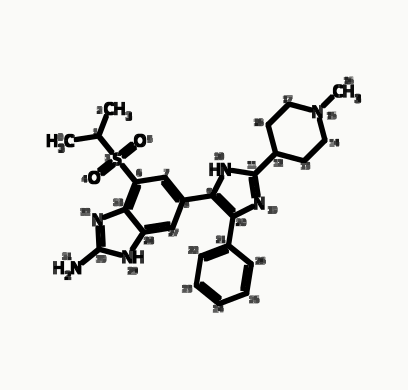 CC(C)S(=O)(=O)c1cc(-c2[nH]c(C3CCN(C)CC3)nc2-c2ccccc2)cc2[nH]c(N)nc12